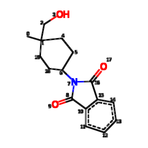 CC1(CO)CCC(N2C(=O)c3ccccc3C2=O)CC1